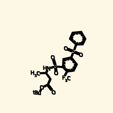 CC(CC(=O)OC(C)(C)C)NS(=O)(=O)c1cc(S(=O)(=O)c2ccccc2)ccc1C(F)(F)F